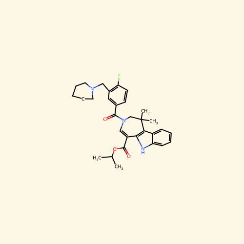 CC(C)OC(=O)C1=CN(C(=O)c2ccc(F)c(CN3CCCCC3)c2)CC(C)(C)c2c1[nH]c1ccccc21